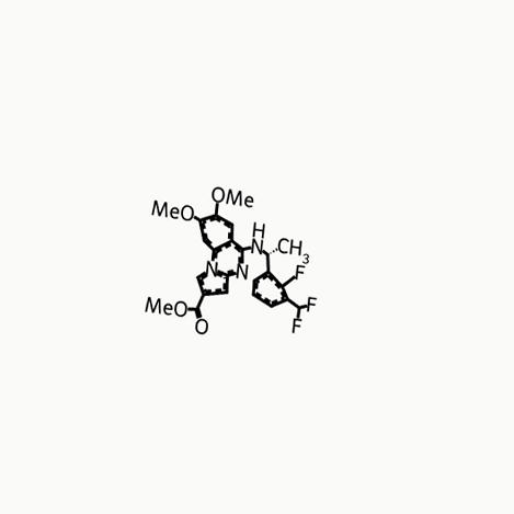 COC(=O)c1cc2nc(N[C@H](C)c3cccc(C(F)F)c3F)c3cc(OC)c(OC)cc3n2c1